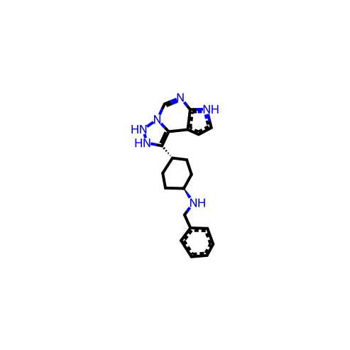 C1=Nc2[nH]ccc2C2=C([C@H]3CC[C@H](NCc4ccccc4)CC3)NNN12